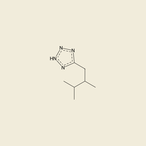 CC(C)C(C)Cc1nn[nH]n1